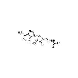 CCC(=O)NOC[C@H]1O[C@@H](n2cnc3c(N)ncnc32)[C@H](O)[C@@H]1O